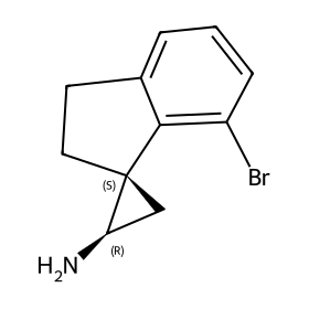 N[C@@H]1C[C@]12CCc1cccc(Br)c12